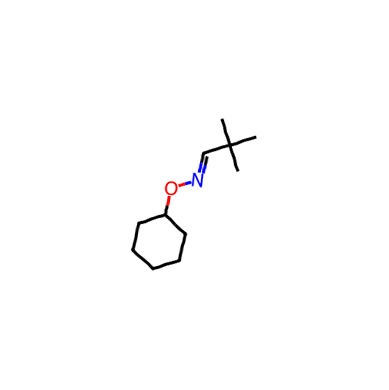 CC(C)(C)C=NOC1CCCCC1